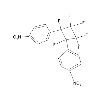 O=[N+]([O-])c1ccc(C2(F)C(F)(F)C(F)(F)C2(F)c2ccc([N+](=O)[O-])cc2)cc1